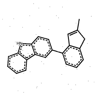 CC1=Cc2c(cccc2-c2ccc3[nH]c4ccccc4c3c2)C1